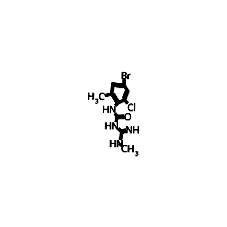 CNC(=N)NC(=O)Nc1c(C)cc(Br)cc1Cl